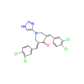 O=C1C(=Cc2ccc(Cl)c(Cl)c2)CN(c2c[nH]cn2)CC1=Cc1ccc(Cl)c(Cl)c1